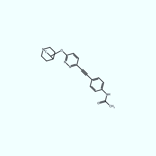 CC(=O)Nc1ccc(C#Cc2ccc(OC3CN4CCC3CC4)nn2)cc1